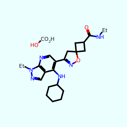 CCNC(=O)C1CC2(CC(c3cnc4c(cnn4CC)c3NC3CCCCC3)=NO2)C1.O=C(O)O